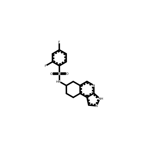 O=S(=O)(NC1CCc2c(cnc3[nH]ncc23)C1)c1ccc(F)cc1F